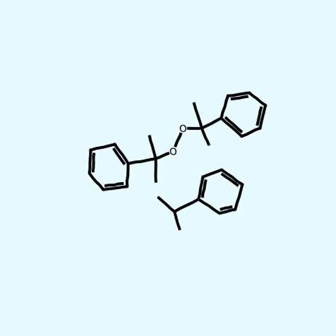 CC(C)(OOC(C)(C)c1ccccc1)c1ccccc1.CC(C)c1ccccc1